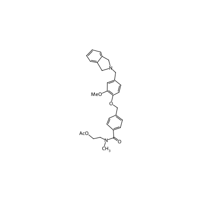 COc1cc(CN2Cc3ccccc3C2)ccc1OCc1ccc(C(=O)N(C)CCOC(C)=O)cc1